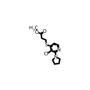 COC(=O)CCSc1ccnc(N2CCCC2)c1Cl